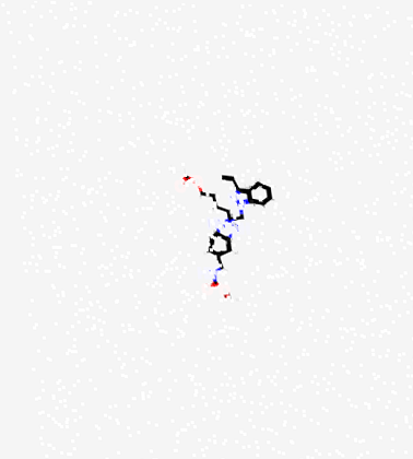 C=Cc1nn(CC2(CCCCOC(=O)C(C)(C)C)Nc3ccc(CNC(=O)OC(C)(C)C)cc3N2)c2ccccc12